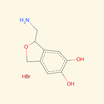 Br.NCC1OCc2cc(O)c(O)cc21